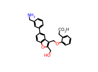 NCc1cccc(-c2ccc3oc(CO)c(COc4ccccc4CC(=O)O)c3c2)c1